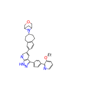 CCOc1cccnc1-c1ccc(-c2n[nH]c3ncc(-c4ccc5c(c4)CC[C@@H](N4C6COCC4C6)CC5)cc23)cc1